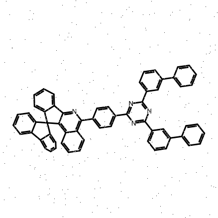 c1ccc(-c2cccc(-c3nc(-c4ccc(-c5nc6c(c7ccccc57)C5(c7ccccc7-c7ccccc75)c5ccccc5-6)cc4)nc(-c4cccc(-c5ccccc5)c4)n3)c2)cc1